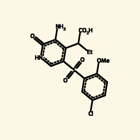 CCC(C(=O)O)c1c(S(=O)(=O)c2cc(Cl)ccc2OC)c[nH]c(=O)c1N